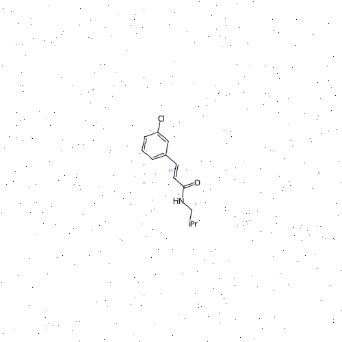 CC(C)CNC(=O)/C=C/c1cccc(Cl)c1